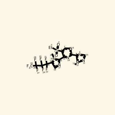 CCS(=O)(=O)c1cnc(-c2ncnn2C)nc1-c1ncc(C(F)(F)C(F)(F)C(F)(F)C(F)(F)F)n1C